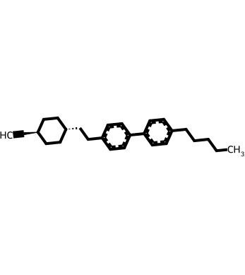 C#C[C@H]1CC[C@H](CCc2ccc(-c3ccc(CCCCC)cc3)cc2)CC1